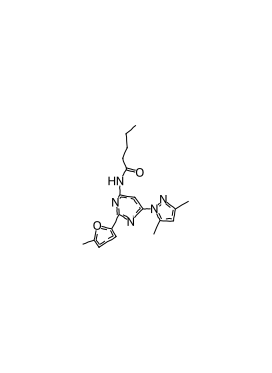 CCCCC(=O)Nc1cc(-n2nc(C)cc2C)nc(-c2ccc(C)o2)n1